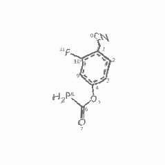 N#Cc1ccc(OC(=O)P)cc1F